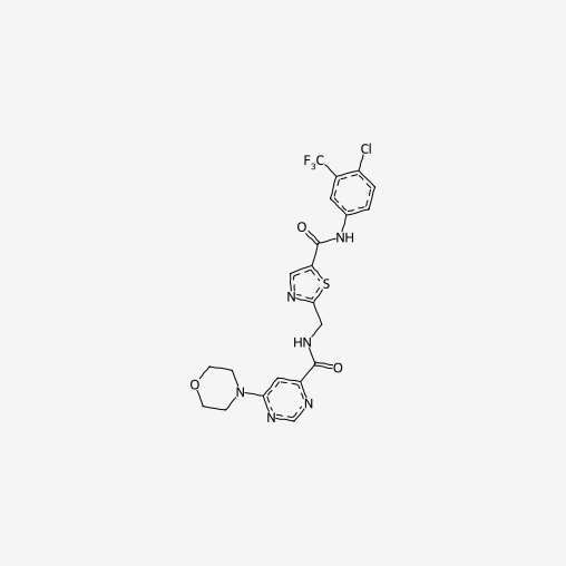 O=C(NCc1ncc(C(=O)Nc2ccc(Cl)c(C(F)(F)F)c2)s1)c1cc(N2CCOCC2)ncn1